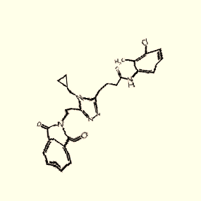 Cc1c(Cl)cccc1NC(=O)CCc1nnc(CN2C(=O)c3ccccc3C2=O)n1C1CC1